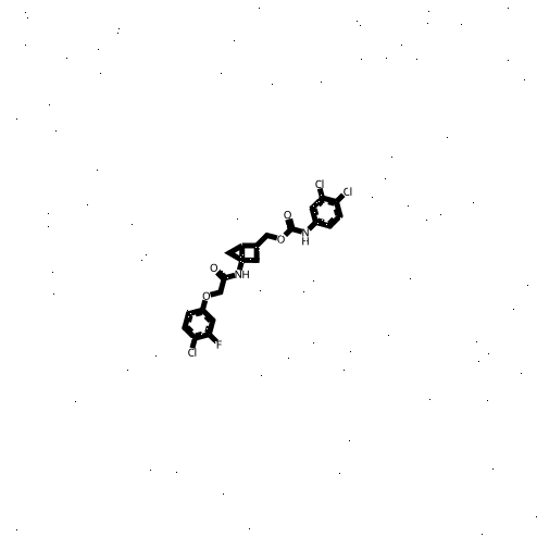 O=C(COc1ccc(Cl)c(F)c1)NC12CC(COC(=O)Nc3ccc(Cl)c(Cl)c3)C1C2